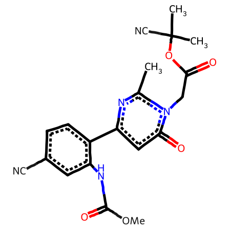 COC(=O)Nc1cc(C#N)ccc1-c1cc(=O)n(CC(=O)OC(C)(C)C#N)c(C)n1